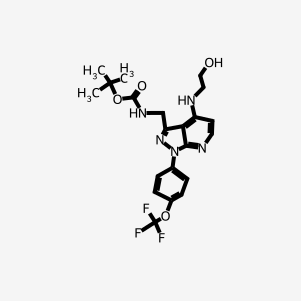 CC(C)(C)OC(=O)NCc1nn(-c2ccc(OC(F)(F)F)cc2)c2nccc(NCCO)c12